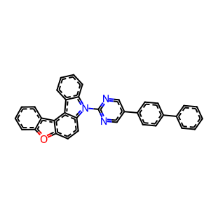 c1ccc(-c2ccc(-c3cnc(-n4c5ccccc5c5c6c(ccc54)oc4ccccc46)nc3)cc2)cc1